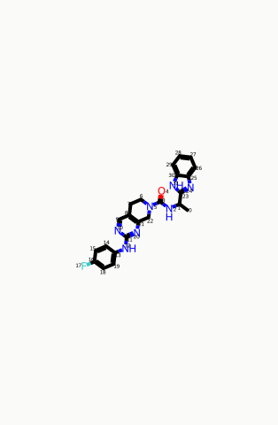 CC(NC(=O)N1CCc2cnc(Nc3ccc(F)cc3)nc2C1)c1nc2ccccc2[nH]1